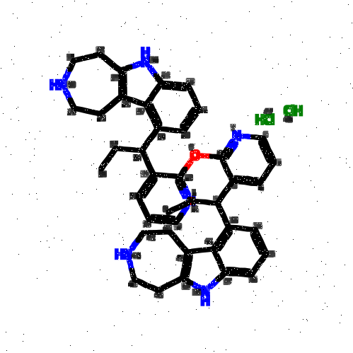 CCC(c1cccnc1Oc1ncccc1C(CC)c1cccc2[nH]c3c(c12)CCNCC3)c1cccc2[nH]c3c(c12)CCNCC3.Cl.Cl